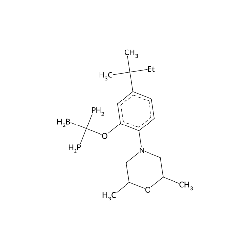 BC(P)(P)Oc1cc(C(C)(C)CC)ccc1N1CC(C)OC(C)C1